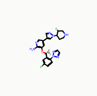 C[C@@H](Oc1cc(-c2cnn(C3CCNCC3F)c2)cnc1N)c1cc(F)ccc1-n1nccn1